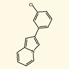 Clc1cccc(-c2cc3ccccn3c2)c1